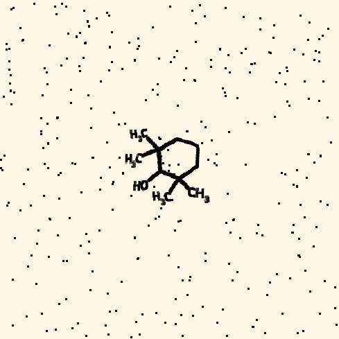 CC1(C)CCCC(C)(C)C1O